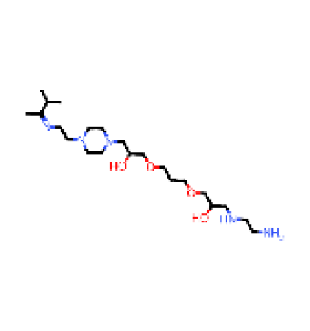 CC(=NCCN1CCN(CC(O)COCCCOCC(O)CNCCN)CC1)C(C)C